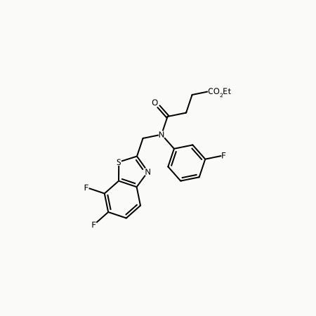 CCOC(=O)CCC(=O)N(Cc1nc2ccc(F)c(F)c2s1)c1cccc(F)c1